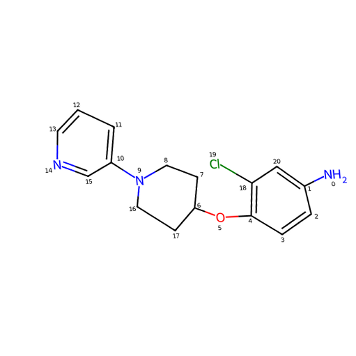 Nc1ccc(OC2CCN(c3cccnc3)CC2)c(Cl)c1